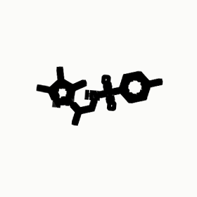 Cc1ccc(S(=O)(=O)NCC(C)n2nc(C)c(C)c2C)cc1